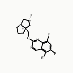 Fc1cc(F)c2nc(OC[C@@]34CCCN3C[C@H](F)C4)ncc2c1Br